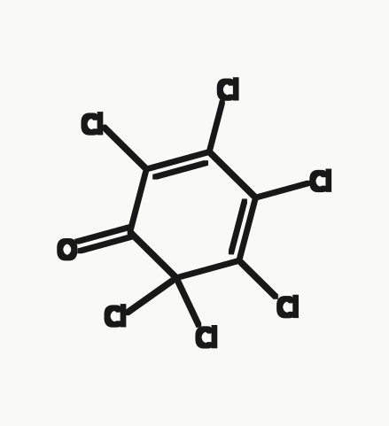 O=C1C(Cl)=C(Cl)C(Cl)=C(Cl)C1(Cl)Cl